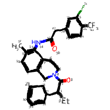 CCC(C(=O)N1CCc2c(ccc(C)c2NC(=O)Cc2ccc(C(F)(F)F)c(F)c2)C1)c1ccccc1